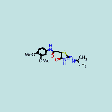 COc1ccc(NC(=O)CC2S/C(=N/N=C(C)C)NC2=O)cc1OC